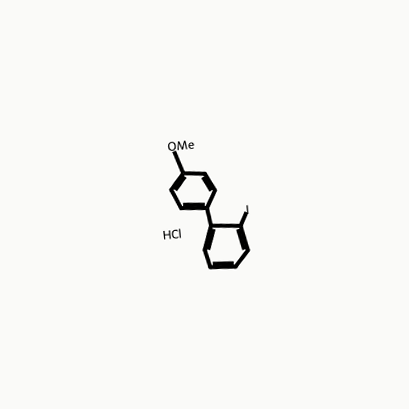 COc1ccc(-c2ccccc2I)cc1.Cl